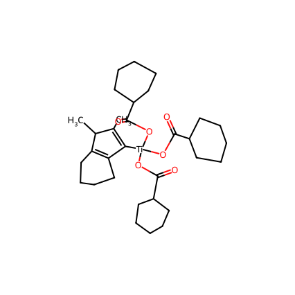 CC1=[C]([Ti]([O]C(=O)C2CCCCC2)([O]C(=O)C2CCCCC2)[O]C(=O)C2CCCCC2)C2=C(CCCC2)C1C